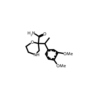 COc1ccc(C(C)C2(C(N)=O)CNCCO2)cc1OC